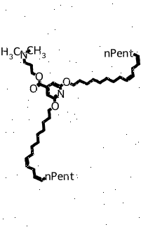 CCCCC/C=C\C/C=C\CCCCCCCCOc1cc(C(=O)OCCCN(C)C)cc(OCCCCCCCC/C=C\C/C=C\CCCCC)n1